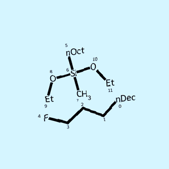 CCCCCCCCCCCCCF.CCCCCCCC[Si](C)(OCC)OCC